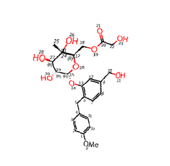 COc1ccc(Cc2ccc(CO)cc2O[C@H]2O[C@H](COC(=O)CO)[C@@](C)(O)[C@H](O)[C@H]2O)cc1